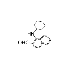 O=Cc1ccc2ccccc2c1NC1CCCCC1